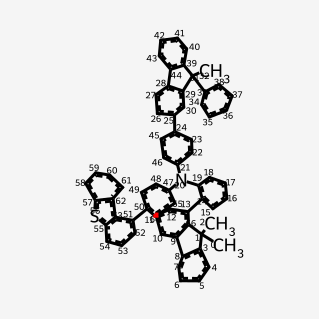 CC1(C)c2ccccc2-c2cccc(-c3ccccc3N(c3ccc(-c4ccc5c(c4)C(C)(c4ccccc4)c4ccccc4-5)cc3)c3ccc(-c4cccc5sc6ccccc6c45)cc3)c21